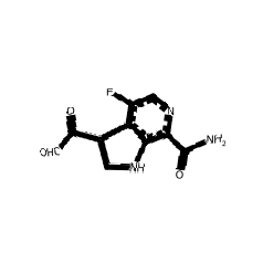 NC(=O)c1ncc(F)c2c1NCC2C(=O)C=O